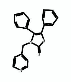 S=c1sc(-c2ccccc2)c(-c2ccccc2)n1Cc1ccncc1